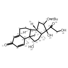 CC(C)(C)OC1C[C@H]2[C@@H]3CCC4=CC(=O)C=C[C@]4(C)C3(F)[C@@H](O)C[C@]2(C)C1(O)C(=O)CO